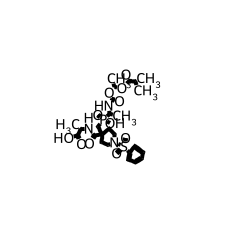 CC(OC(=O)NC(C)P(=O)(O)CC1(C(=O)NC(C)C(=O)O)CCN(S(=O)(=O)c2ccccc2)CC1)OC(=O)C(C)C